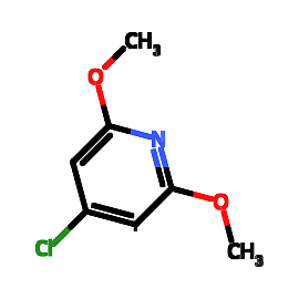 COc1[c]c(Cl)cc(OC)n1